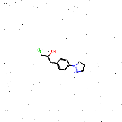 OC(CCl)Cc1ccc(N2CCCN2)cc1